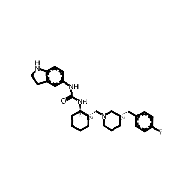 O=C(Nc1ccc2c(c1)CCN2)N[C@@H]1CCCC[C@H]1CN1CCC[C@@H](Cc2ccc(F)cc2)C1